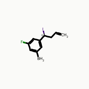 Bc1cc(F)cc([C@@H](I)CC=C)c1